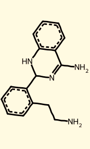 NCCc1ccccc1C1N=C(N)c2ccccc2N1